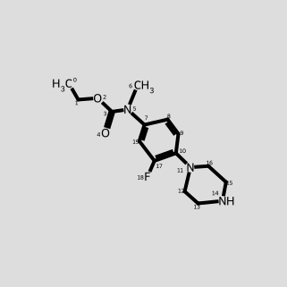 CCOC(=O)N(C)c1ccc(N2CCNCC2)c(F)c1